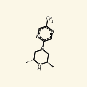 C[C@@H]1CN(c2cnc(C(F)(F)F)cn2)C[C@@H](C)N1